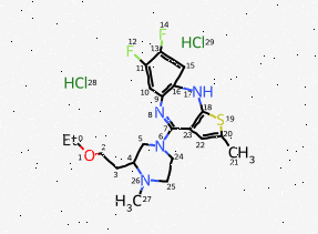 CCOCCC1CN(C2=Nc3cc(F)c(F)cc3Nc3sc(C)cc32)CCN1C.Cl.Cl